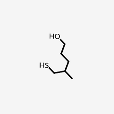 CC(CS)CCCO